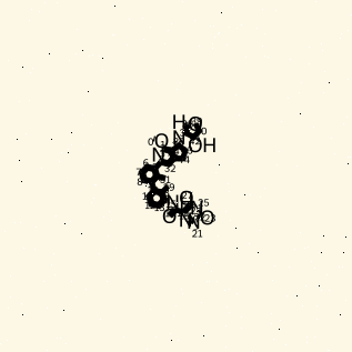 COc1nc(-c2cccc(-c3cccc(NC(=O)c4nn(C)c(=O)n(C)c4=O)c3C)c2C)cc2c1[C@H](N[C@@H]1COC[C@@H]1O)CC2